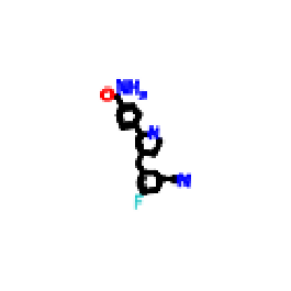 N#Cc1cc(F)cc(Cc2ccnc(-c3ccc(C(N)=O)cc3)c2)c1